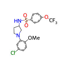 COc1ccc(Cl)cc1N1CCC(NS(=O)(=O)c2ccc(OC(F)(F)F)cc2)C1